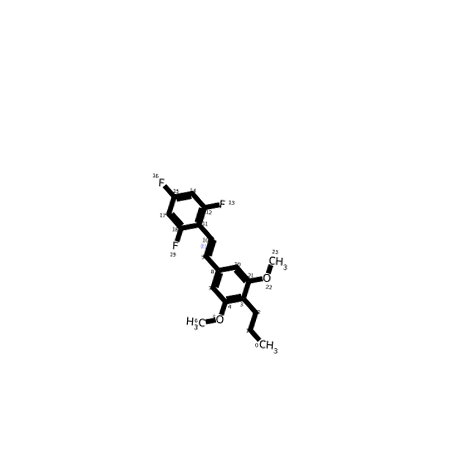 CCCc1c(OC)cc(/C=C/c2c(F)cc(F)cc2F)cc1OC